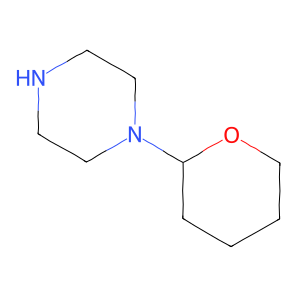 C1CCC(N2CCNCC2)OC1